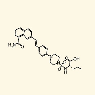 CCC[C@H](NS(=O)(=O)N1CCN(c2ccc(C=Cc3ccc4cccc(C(N)=O)c4c3)cc2)CC1)C(=O)O